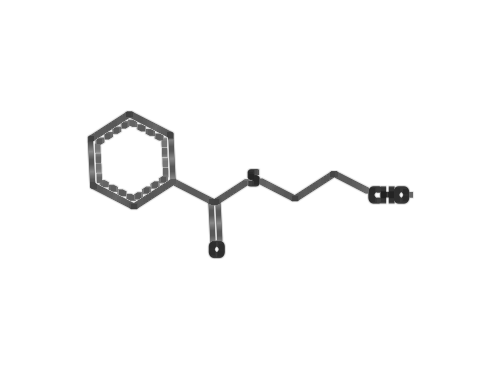 O=[C]CCSC(=O)c1ccccc1